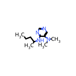 CCCC(C)Nc1ncncc1N(C)C